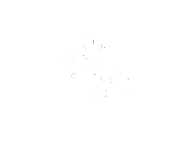 CC(C)(C)c1ccc2c(c1)c1cc(C(C)(C)C)ccc1n2-c1c(C#N)cc(-n2c3ccccc3c3c4ccccc4ccc32)cc1C#N